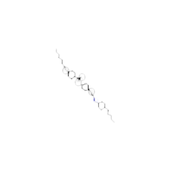 CCCCCCCOc1ccc(C(=O)Oc2ccc(OC/C=C/C3CCC(CCCCC)CC3)cc2)cc1